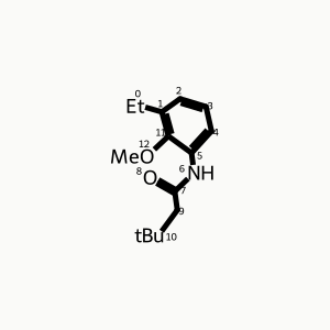 CCc1cccc(NC(=O)CC(C)(C)C)c1OC